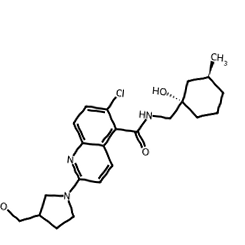 C[C@H]1CCC[C@@](O)(CNC(=O)c2c(Cl)ccc3nc(N4CCC(CO)C4)ccc23)C1